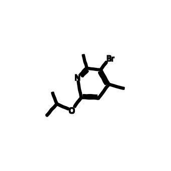 Cc1cc(OC(C)C)nc(C)c1Br